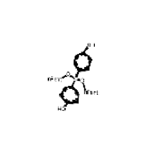 CCCCCO[Si](OCCCCC)(c1ccc(O)cc1)c1ccc(O)cc1